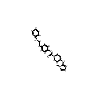 Cn1ccnc1SC1CCN(C(=O)Oc2ccc(CCSc3ccccn3)cc2)CC1